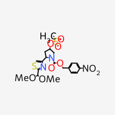 COC(OC)c1nc(C2CC(OS(C)(=O)=O)CN2C(=O)OCc2ccc([N+](=O)[O-])cc2)cs1